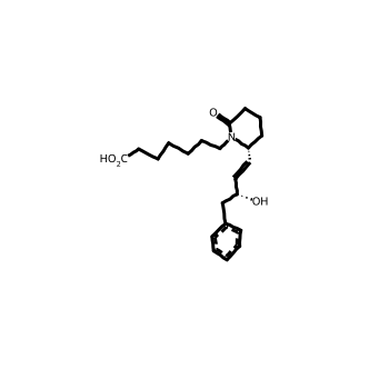 O=C(O)CCCCCCN1C(=O)CCC[C@@H]1/C=C/[C@H](O)Cc1ccccc1